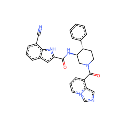 N#Cc1cccc2cc(C(=O)N[C@@H]3CN(C(=O)c4cccn5cncc45)CC[C@H]3c3ccccc3)[nH]c12